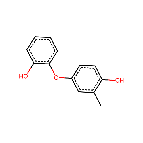 Cc1cc(Oc2ccccc2O)ccc1O